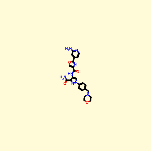 NC(=O)c1nn(-c2ccc(CN3CCOCC3)cc2)cc1NC(=O)c1coc(-c2ccnc(N)c2)n1